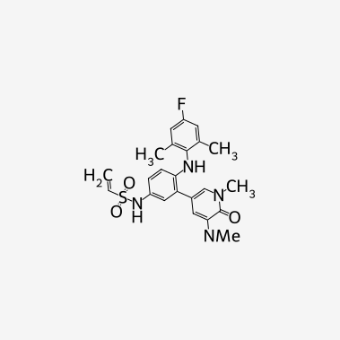 C=CS(=O)(=O)Nc1ccc(Nc2c(C)cc(F)cc2C)c(-c2cc(NC)c(=O)n(C)c2)c1